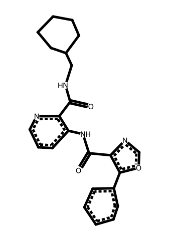 O=C(NCC1CCCCC1)c1ncccc1NC(=O)c1ncoc1-c1ccccc1